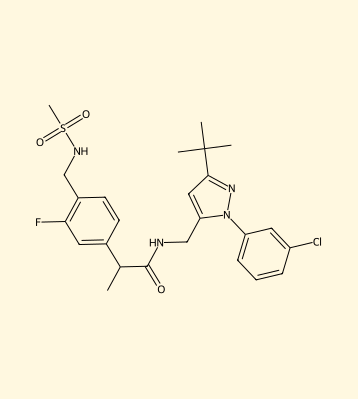 CC(C(=O)NCc1cc(C(C)(C)C)nn1-c1cccc(Cl)c1)c1ccc(CNS(C)(=O)=O)c(F)c1